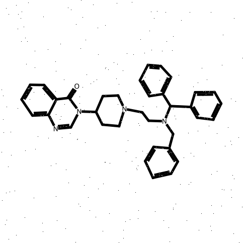 O=c1c2ccccc2ncn1C1CCN(CCN(Cc2ccccc2)C(c2ccccc2)c2ccccc2)CC1